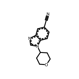 N#Cc1ccc2c(c1)ncn2C1CCOCC1